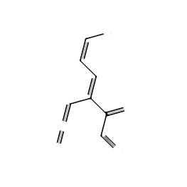 C=C=C/C(=C\C=C/C)C(=O)C=C